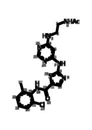 CC(=O)NCCNc1cc(Nc2ncc(C(=O)Nc3c(C)cccc3Cl)s2)ncn1